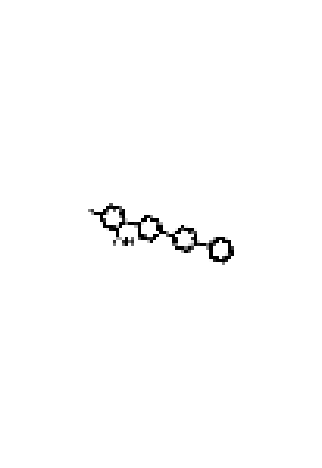 Cc1ccc(-c2ccc(-c3ccc(-c4ccccc4)cc3)cc2)c(O)c1